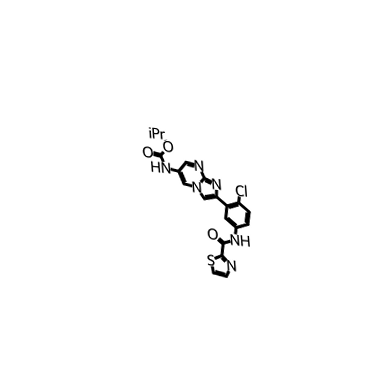 CC(C)OC(=O)Nc1cnc2nc(-c3cc(NC(=O)c4nccs4)ccc3Cl)cn2c1